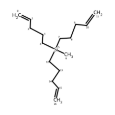 C=CCCC[Si](C)(CCCC=C)CCCC=C